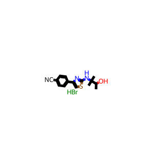 Br.CC(O)C(C)(C)Nc1nc(-c2ccc(C#N)cc2)cs1